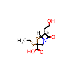 CCSC1(C(=O)O)CN2C(=O)[C@H](CCO)[C@H]2S1